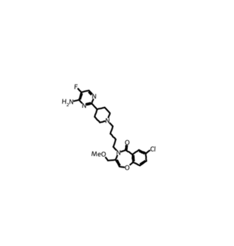 COCC1=COc2ccc(Cl)cc2C(=O)N1CCCCN1CCC(c2ncc(F)c(N)n2)CC1